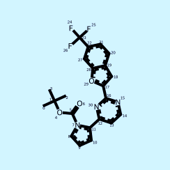 CC(C)(C)OC(=O)n1cccc1-c1ccnc(-c2cc3ccc(C(F)(F)F)cc3o2)n1